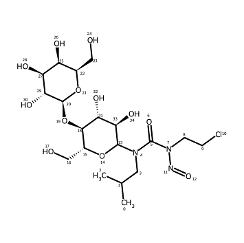 CC(C)CN(C(=O)N(CCCl)N=O)C1O[C@H](CO)[C@@H](O[C@@H]2O[C@H](CO)[C@H](O)[C@H](O)[C@H]2O)[C@H](O)[C@H]1O